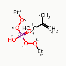 C=C(C)C(=O)O.CCOOP(=O)(O)OOCC